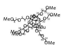 CCCCC(C)(OCCOCCOC)C(OCCOCCOC)(OCCOCCOC)C(=O)C(OCCOCCOC)(OCCOCCOC)C(C)(CCCC)OCCOCCOC